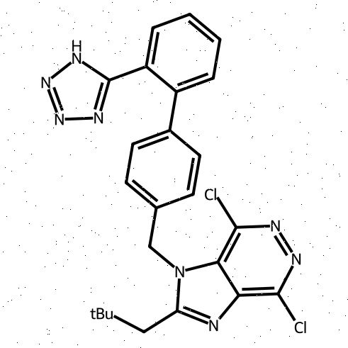 CC(C)(C)Cc1nc2c(Cl)nnc(Cl)c2n1Cc1ccc(-c2ccccc2-c2nnn[nH]2)cc1